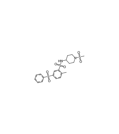 Cc1ccc(S(=O)(=O)c2ccccc2)cc1S(=O)(=O)NC1CCN(S(C)(=O)=O)CC1